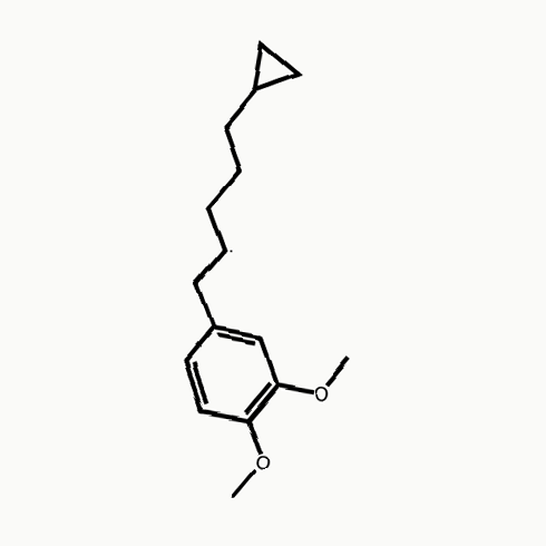 COc1ccc(C[CH]CCCC2CC2)cc1OC